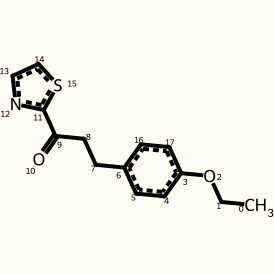 CCOc1ccc(CCC(=O)c2nccs2)cc1